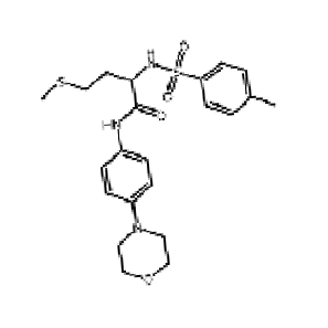 CSCCC(NS(=O)(=O)c1ccc(C)cc1)C(=O)Nc1ccc(N2CCOCC2)cc1